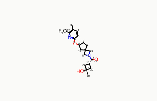 Cc1ccc(OC2CCC3(C2)CN(C(=O)[C@H]2C[C@@](C)(O)C2)C3)nc1C(F)(F)F